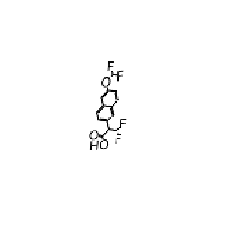 O=C(O)C(c1ccc2cc(OC(F)F)ccc2c1)C(F)F